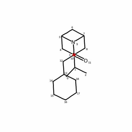 CC(C)N1CC2CC(C1)N2C(=O)CC1CCCCC1